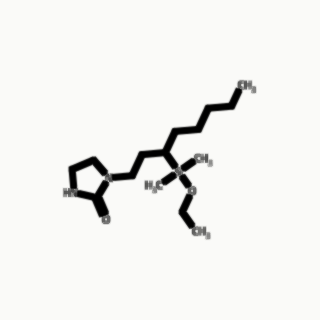 CCCCCC(CCN1CCNC1=O)[Si](C)(C)OCC